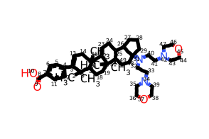 CC1(C)C(c2ccc(C(=O)O)cc2)=CCC2(C)C1CCC1(C)C2CCC2C3CCCC3(N(CCN3CCOCC3)CCN3CCOCC3)CC[C@]21C